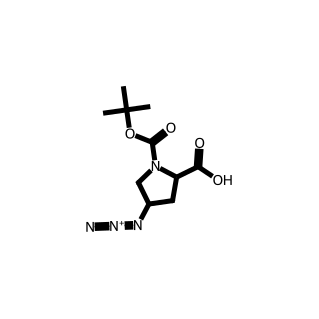 CC(C)(C)OC(=O)N1CC(N=[N+]=[N-])CC1C(=O)O